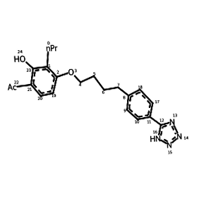 CCCc1c(OCCCCc2ccc(-c3nnn[nH]3)cc2)ccc(C(C)=O)c1O